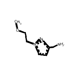 COCCn1ccc(N)n1